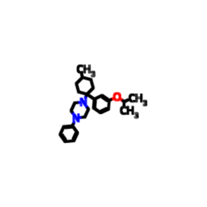 CC1CCC(c2cccc(OC(C)C)c2)(N2CCN(c3ccccc3)CC2)CC1